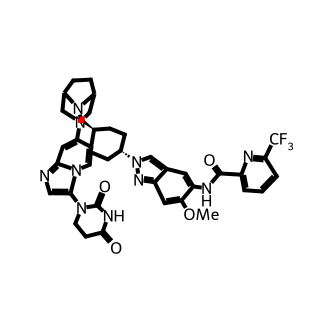 COc1cc2nn([C@H]3CC[C@H](CN4C5CCC4CN(c4ccn6c(N7CCC(=O)NC7=O)cnc6c4)C5)CC3)cc2cc1NC(=O)c1cccc(C(F)(F)F)n1